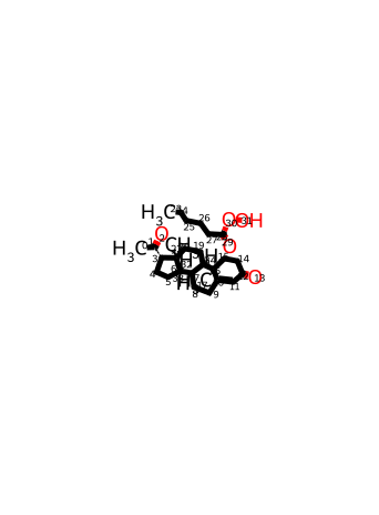 CC(=O)[C@H]1CC[C@H]2[C@@H]3CCC4=CC(=O)CC[C@]4(C)[C@H]3CC[C@]12C.CCCCCC(=O)OO